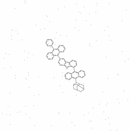 c1ccc(-c2c3ccccc3c(-c3ccc4sc5c(-c6c7ccccc7c(C7C8CC9CC(C8)CC7C9)c7ccccc67)cccc5c4c3)c3ccccc23)cc1